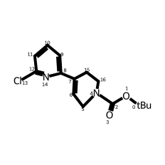 CC(C)(C)OC(=O)N1CC=C(c2cccc(Cl)n2)CC1